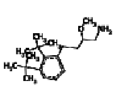 COC(CN)CCc1cccc(C(C)(C)C)c1C(C)(C)C